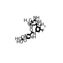 CN1C(=N)N[C@](C)(c2cc(NC(=O)c3cnc(OC(O)(O)O)cn3)cc(F)c2F)CS1(=O)=O